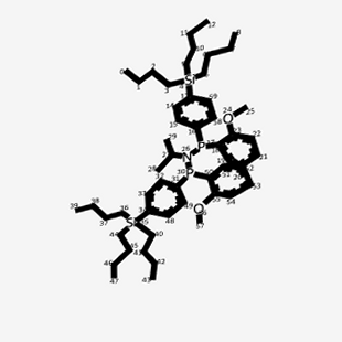 CCCC[Si](CCCC)(CCCC)c1ccc(P(c2ccccc2OC)N(C(C)C)P(c2ccc([Si](CCCC)(CCCC)CCCC)cc2)c2ccccc2OC)cc1